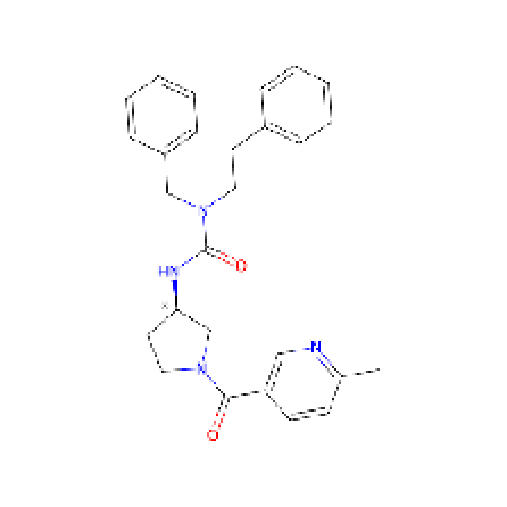 Cc1ccc(C(=O)N2CC[C@@H](NC(=O)N(CCc3ccccc3)Cc3ccccc3)C2)cn1